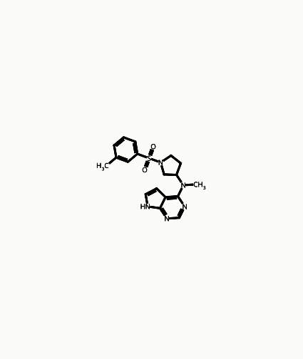 Cc1cccc(S(=O)(=O)N2CCC(N(C)c3ncnc4[nH]ccc34)C2)c1